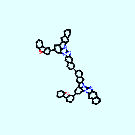 c1ccc2cc3c(cc2c1)nc1n3c2cc(-c3cccc4c3oc3ccccc34)cc3c4cc5cc(-c6ccc7cc8c(cc7c6)nc6n8c7cc(-c8ccc9oc%10ccccc%10c9c8)cc8c9cc%10ccccc%10cc9n6c87)ccc5cc4n1c32